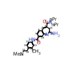 CCCN(CCC)C(=O)C1=Cc2ccc(C(=O)Nc3ccc(CCNC)c(C)c3)cc2N=C(N)C1